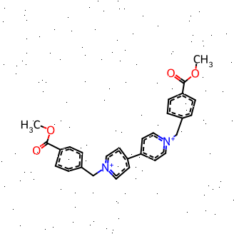 COC(=O)c1ccc(C[n+]2ccc(-c3cc[n+](Cc4ccc(C(=O)OC)cc4)cc3)cc2)cc1